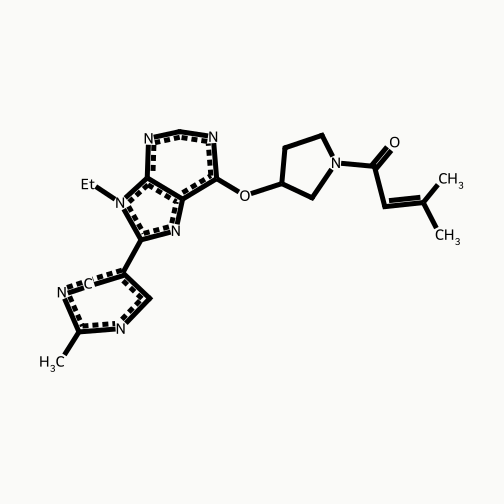 CCn1c(-c2cnc(C)nc2)nc2c(OC3CCN(C(=O)C=C(C)C)C3)ncnc21